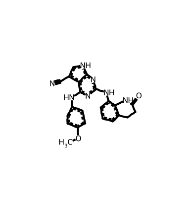 COc1ccc(Nc2nc(Nc3cccc4c3NC(=O)CC4)nc3[nH]cc(C#N)c23)cc1